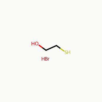 Br.OCCS